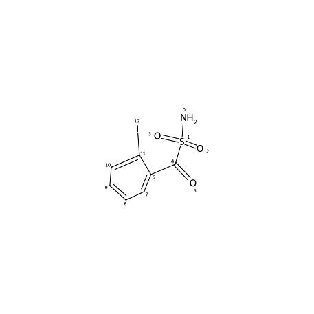 NS(=O)(=O)C(=O)c1ccccc1I